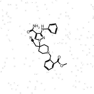 COC(=O)c1ccccc1CN1CCC(CC#N)(n2cc(C(N)=O)c(Nc3ccccc3)n2)CC1